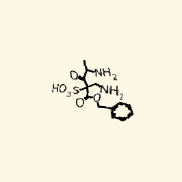 CC(N)C(=O)C(CN)(C(=O)OCc1ccccc1)S(=O)(=O)O